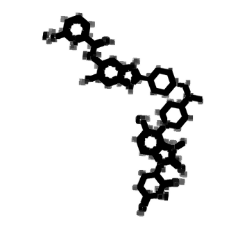 CN(C[C@H]1CC[C@H](c2nc3cc(F)c(NC(=O)c4cccc(C(F)(F)F)n4)cc3s2)CC1)C1CCN(c2c(Cl)ccc3c2n(C)c(=O)n3C2CCC(=O)NC2=O)CC1